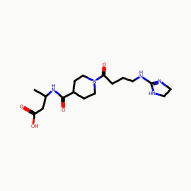 CC(CC(=O)O)NC(=O)C1CCN(C(=O)CCCNC2=NCCN2)CC1